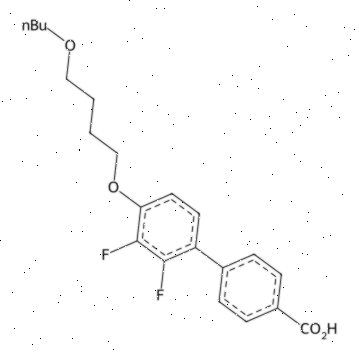 CCCCOCCCCOc1ccc(-c2ccc(C(=O)O)cc2)c(F)c1F